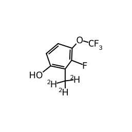 [2H]C([2H])([2H])c1c(O)ccc(OC(F)(F)F)c1F